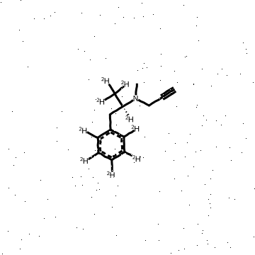 [2H]c1c([2H])c([2H])c(C[C@]([2H])(N(C)CC#C)C([2H])([2H])[2H])c([2H])c1[2H]